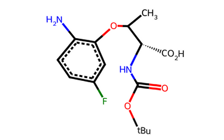 CC(Oc1cc(F)ccc1N)[C@@H](NC(=O)OC(C)(C)C)C(=O)O